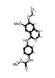 COc1cc2c(Nc3ccc(NC(=O)OC(C)(C)C)cc3)ncnc2cc1OCC(F)(F)F